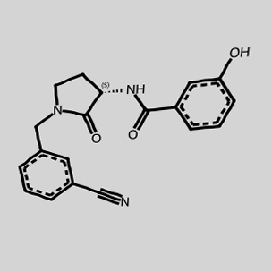 N#Cc1cccc(CN2CC[C@H](NC(=O)c3cccc(O)c3)C2=O)c1